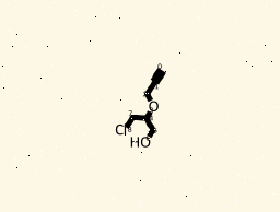 C#CCOC(CO)CCl